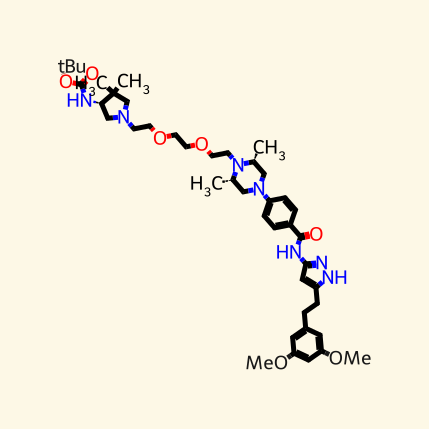 COc1cc(CCc2cc(NC(=O)c3ccc(N4C[C@@H](C)N(CCOCCOCCN5C[C@H](NC(=O)OC(C)(C)C)C(C)(C)C5)[C@@H](C)C4)cc3)n[nH]2)cc(OC)c1